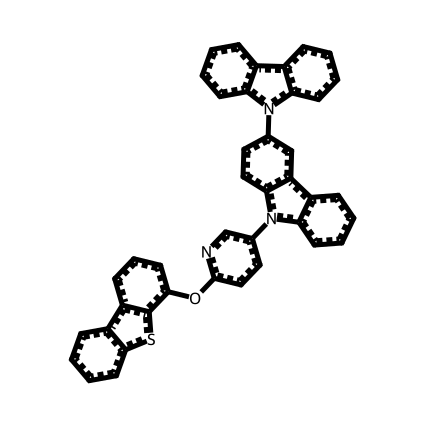 c1ccc2c(c1)sc1c(Oc3ccc(-n4c5ccccc5c5cc(-n6c7ccccc7c7ccccc76)ccc54)cn3)cccc12